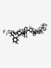 Cc1ccc(-c2cc(C(F)(F)F)nn2-c2ccc(S(=O)(=O)NC(=O)C3CCN(/[N+]([O-])=N/OC(C)OC(=O)C(C)C)C3)cc2)cc1